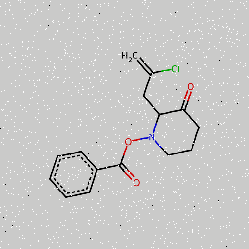 C=C(Cl)CC1C(=O)CCCN1OC(=O)c1ccccc1